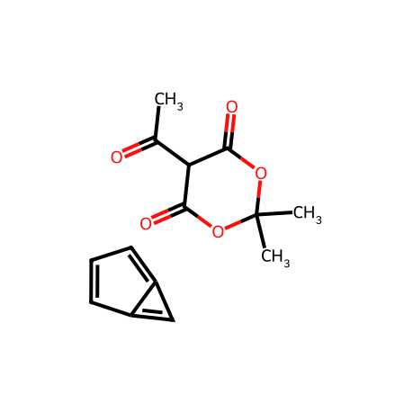 CC(=O)C1C(=O)OC(C)(C)OC1=O.c1cc2cc-2c1